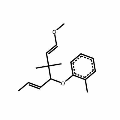 CC=CC(Oc1ccccc1C)C(C)(C)C=COC